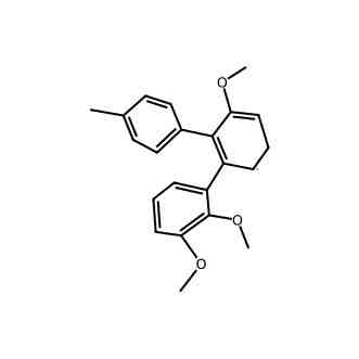 COC1=CC[CH]C(c2cccc(OC)c2OC)=C1c1ccc(C)cc1